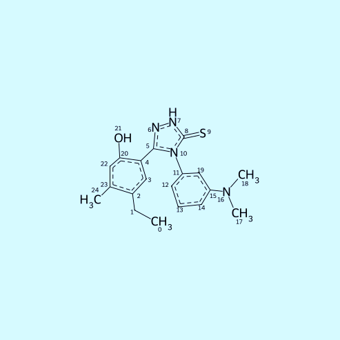 CCc1cc(-c2n[nH]c(=S)n2-c2cccc(N(C)C)c2)c(O)cc1C